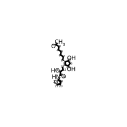 CC(=O)CCCCCC[C@@H]1[C@@H](CCC(O)C(=O)Nc2ccco2)[C@H](O)C[C@@H]1O